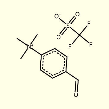 C[N+](C)(C)c1ccc(C=O)cc1.O=S(=O)([O-])C(F)(F)F